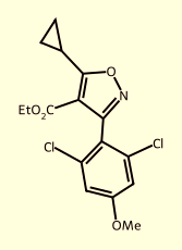 CCOC(=O)c1c(-c2c(Cl)cc(OC)cc2Cl)noc1C1CC1